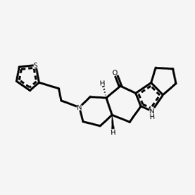 O=C1c2c([nH]c3c2CCC3)C[C@@H]2CCN(CCc3cccs3)C[C@@H]12